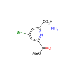 COC(=O)c1cc(Br)cc(C(=O)O)n1.N